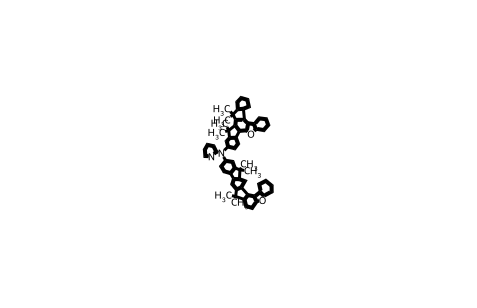 CC1(C)c2cc(N(c3ccc4c(c3)C(C)(C)c3c5c(c6c(oc7ccccc76)c3-4)-c3ccccc3C5(C)C)c3ccccn3)ccc2-c2cc3c(cc21)-c1c(ccc2oc4ccccc4c12)C3(C)C